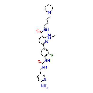 CCNc1nc(-c2ccc(NC(=O)NCc3ccc(N)nc3)c(F)c2)ccc1C(=O)NCCCCN1CCCCC1